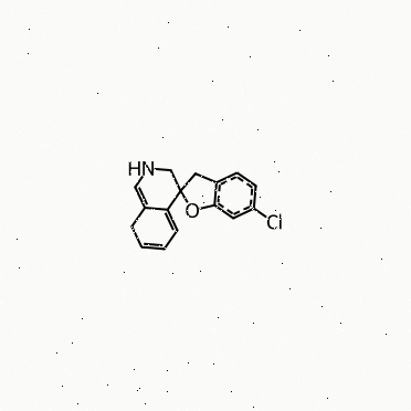 Clc1ccc2c(c1)OC1(CNC=C3CC=CC=C31)C2